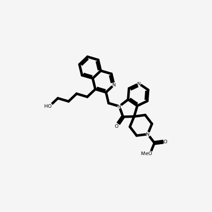 COC(=O)N1CCC2(CC1)C(=O)N(Cc1ncc3ccccc3c1CCCCO)c1cnccc12